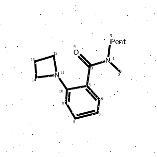 CCCC(C)N(C)C(=O)c1ccccc1N1CCC1